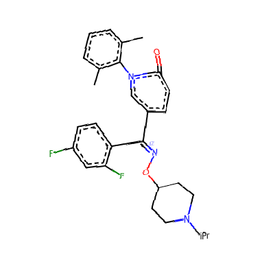 Cc1cccc(C)c1-n1cc(/C(=N/OC2CCN(C(C)C)CC2)c2ccc(F)cc2F)ccc1=O